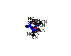 N#Cc1cc(C#N)c(-c2ccc3c(c2)c2cc(-c4c(C#N)cc(C#N)cc4C#N)ccc2n3-c2ccc(C#N)c(-c3cc(-c4nc(-c5ccccc5)nc(-c5ccccc5)n4)ccc3-n3c4ccc(-c5c(C#N)cc(C#N)cc5C#N)cc4c4cc(-c5c(C#N)cc(C#N)cc5C#N)ccc43)c2)c(C#N)c1